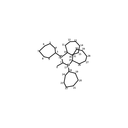 CC(P(C1CCCCCC1)C1CCCCCC1)P(C1CCCCCC1)C1CCCCCC1